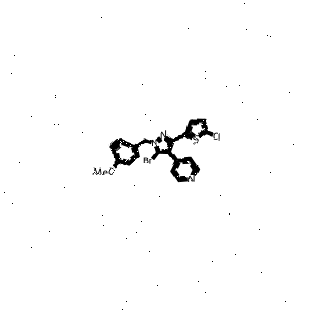 COc1ccc(Cn2nc(-c3ccc(Cl)s3)c(-c3ccncc3)c2Br)cc1